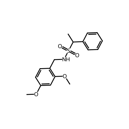 COc1ccc(CNS(=O)(=O)C(C)c2ccccc2)c(OC)c1